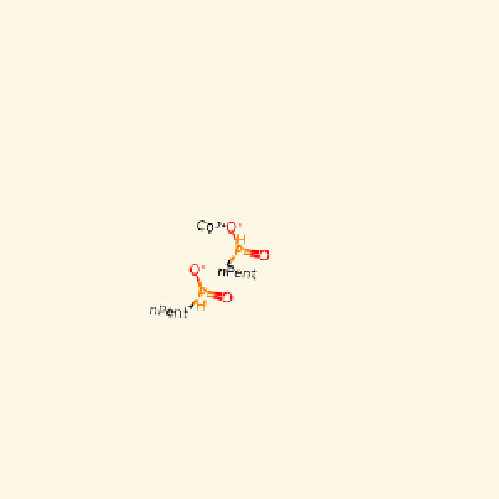 CCCCC[PH](=O)[O-].CCCCC[PH](=O)[O-].[Co+2]